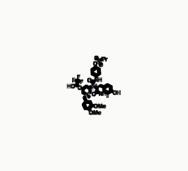 COc1ccc(C[N+]2(C)CCC/C(=[N+](\C(=O)Nc3ccc(OS(=O)(=O)C(C)C)cc3)[C@@H](Cc3ccc(O)cc3)C(N)=O)C2)cc1OC.O=C(O)C(F)(F)F